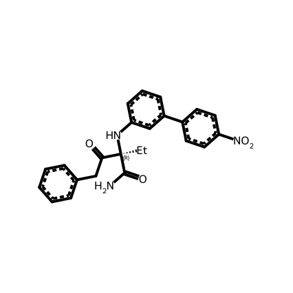 CC[C@](Nc1cccc(-c2ccc([N+](=O)[O-])cc2)c1)(C(N)=O)C(=O)Cc1ccccc1